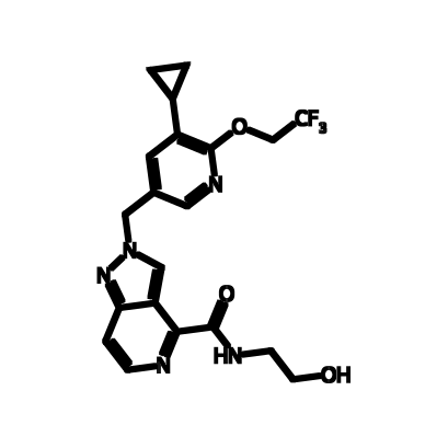 O=C(NCCO)c1nccc2nn(Cc3cnc(OCC(F)(F)F)c(C4CC4)c3)cc12